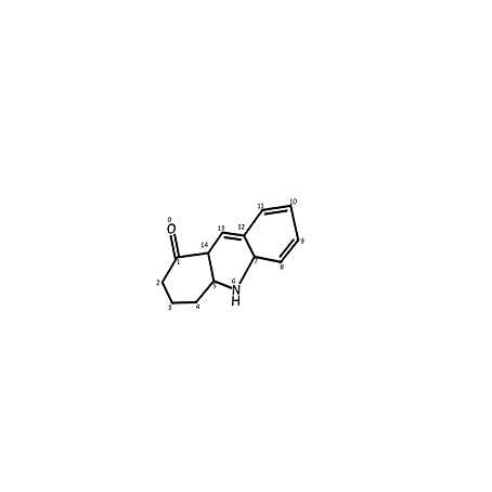 O=C1CCCC2NC3C=CC=CC3=CC12